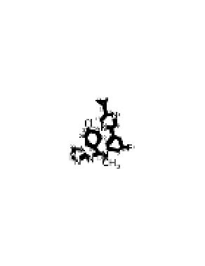 CN(c1cc(F)cc(-c2cnc(C3CC3)cn2)c1)c1nc2nncn2c2cc(Cl)ccc12